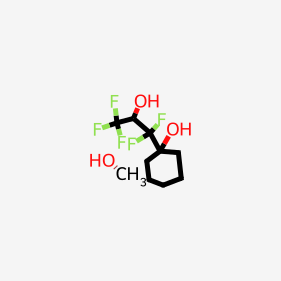 CO.OC(C(F)(F)F)C(F)(F)C1(O)CCCCC1